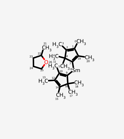 CC1=C(C)C(C)(C)[C]([Sm][C]2=C(C)C(C)=C(C)C2(C)C)=C1C.CC1CCCO1